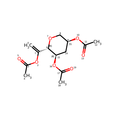 C=C(OC(C)=O)[C@@H]1OC[C@@H](OC(C)=O)C[C@H]1OC(C)=O